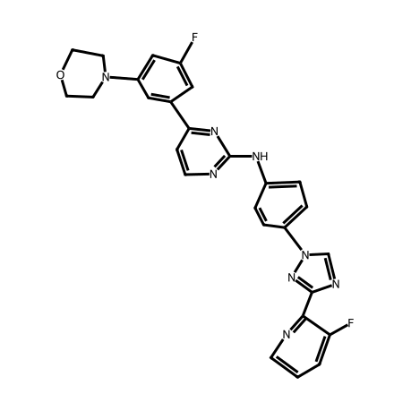 Fc1cc(-c2ccnc(Nc3ccc(-n4cnc(-c5ncccc5F)n4)cc3)n2)cc(N2CCOCC2)c1